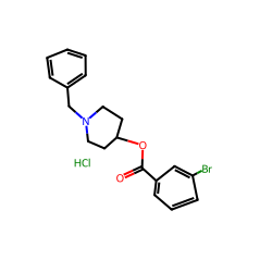 Cl.O=C(OC1CCN(Cc2ccccc2)CC1)c1cccc(Br)c1